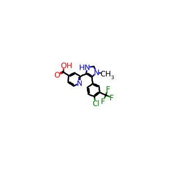 CN1CNC(c2cc(C(=O)O)ccn2)=C1c1ccc(Cl)c(C(F)(F)F)c1